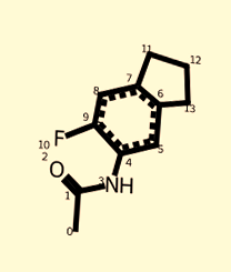 CC(=O)Nc1cc2c(cc1F)CCC2